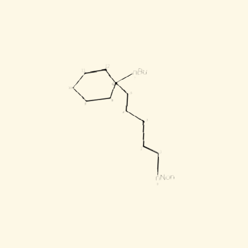 CCCCCCCCCCCCCCC1(CCCC)CCCCC1